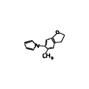 Cc1cc2c(cc1-n1cccc1)OCC2